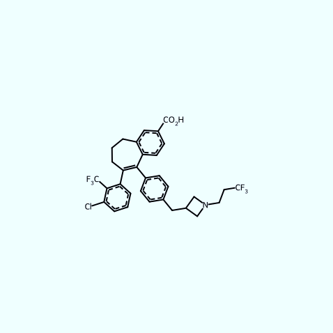 O=C(O)c1ccc2c(c1)CCCC(c1cccc(Cl)c1C(F)(F)F)=C2c1ccc(CC2CN(CCC(F)(F)F)C2)cc1